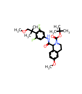 COCC(C)(C)c1c(F)cc(NC(=O)C2c3ccc(OC)cc3CCN2C(=O)OC(C)(C)C)cc1F